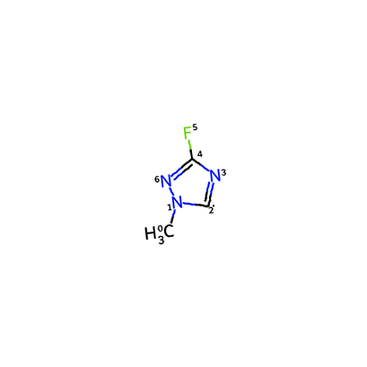 Cn1[c]nc(F)n1